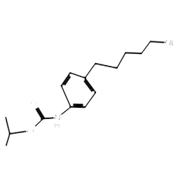 CC(C)OC(=O)Nc1ccc(CCCCCN)cc1